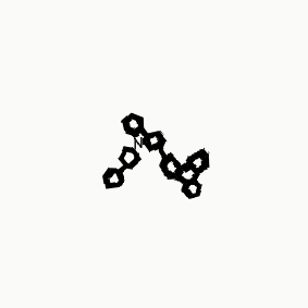 C1=CC(C2C=CC(n3c4ccccc4c4ccc(-c5ccc6c7c(c8ccccc8c6c5)CCC=C7)cc43)CC2)=CCC1